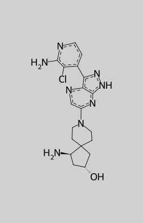 Nc1nccc(-c2n[nH]c3nc(N4CCC5(CC4)C[C@H](O)C[C@H]5N)cnc23)c1Cl